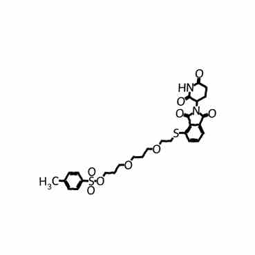 Cc1ccc(S(=O)(=O)OCCCOCCCOCCSc2cccc3c2C(=O)N(C2CCC(=O)NC2=O)C3=O)cc1